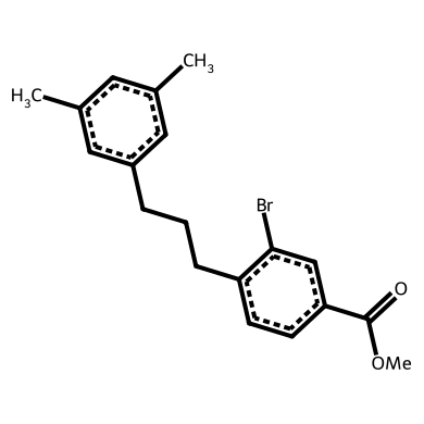 COC(=O)c1ccc(CCCc2cc(C)cc(C)c2)c(Br)c1